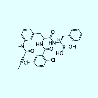 CC#CC(=O)N(C)c1cccc(CC(NC(=O)c2cc(Cl)ccc2Cl)C(=O)N[C@@H](Cc2ccccc2)B(O)O)c1